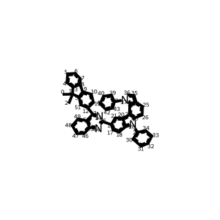 CC1(C)c2ccccc2-c2ccc(-c3nc(-c4ccc5c(c4)c4c6c(ccc4n5-c4ccccc4)ccn6-c4ccccc4)nc4ccccc34)cc21